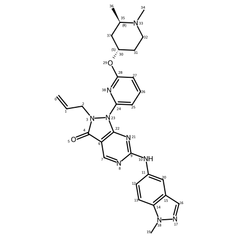 C=CCn1c(=O)c2cnc(Nc3ccc4c(cnn4C)c3)nc2n1-c1cccc(O[C@H]2CCN(C)[C@H](C)C2)n1